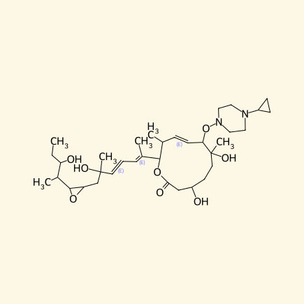 CCC(O)C(C)C1OC1CC(C)(O)/C=C/C=C(\C)C1OC(=O)CC(O)CCC(C)(O)C(ON2CCN(C3CC3)CC2)/C=C/C1C